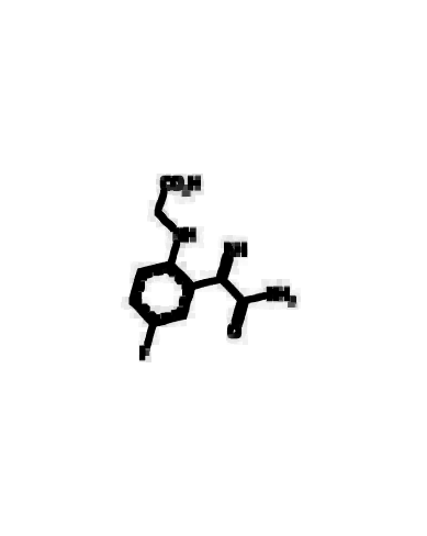 N=C(C(N)=O)c1cc(F)ccc1NCC(=O)O